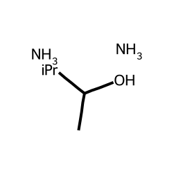 CC(C)C(C)O.N.N